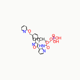 C=C(/C=C\C(=C/C)COc1ccccn1)Cc1cc(-c2cccnc2NC(=O)OCOP(=O)(O)O)on1